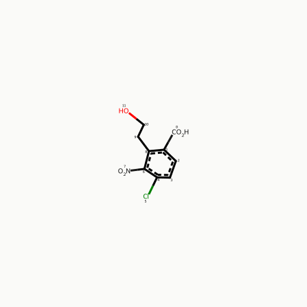 O=C(O)c1ccc(Cl)c([N+](=O)[O-])c1CCO